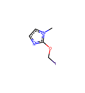 Cn1ccnc1OCI